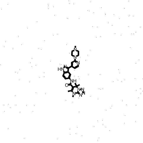 CC1=C(C(=O)Nc2ccc3[nH]nc(-c4ccnc(N5CCN(C)CC5)c4)c3c2)C(C)(C)n2nnnc2N1C